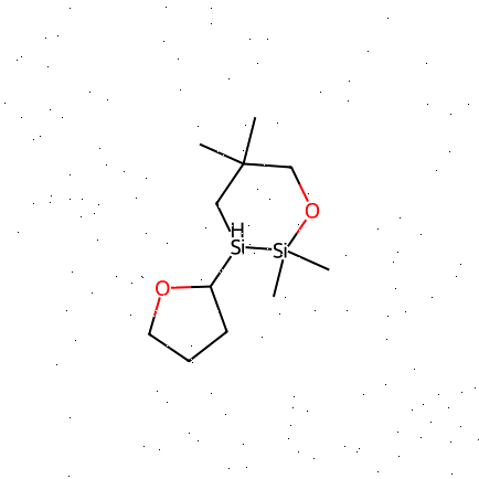 CC1(C)CO[Si](C)(C)[SiH](C2CCCO2)C1